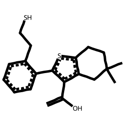 C=C(O)c1c(-c2ccccc2CCS)sc2c1CC(C)(C)CC2